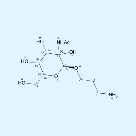 CC(=O)N[C@]1(O)[C@@H](OCCCN)O[C@H](CO)[C@H](O)[C@@H]1O